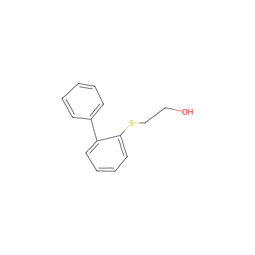 OCCSc1ccccc1-c1ccccc1